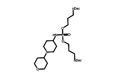 CCCCCCCCCCCCCOP(=O)(NC1CCN(C2CCOCC2)CC1)OCCCCCCCCCCCCC